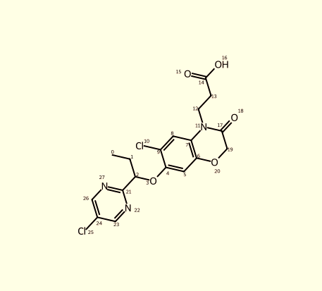 CCC(Oc1cc2c(cc1Cl)N(CCC(=O)O)C(=O)CO2)c1ncc(Cl)cn1